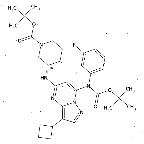 CC(C)(C)OC(=O)N1CCC[C@H](Nc2cc(N(C(=O)OC(C)(C)C)c3cccc(F)c3)n3ncc(C4CCC4)c3n2)C1